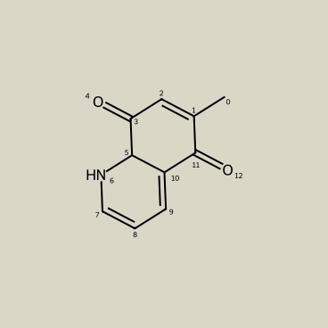 CC1=CC(=O)C2NC=CC=C2C1=O